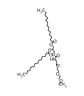 CCCCCCCCCCCCCC(=O)OCC(COC(=O)NCCOCCOCCOC)OC(=O)CCCCCCCCCCCCC